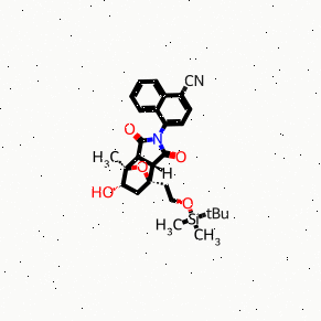 CC(C)(C)[Si](C)(C)OCC[C@]12C[C@H](O)[C@](C)(O1)C1C(=O)N(c3ccc(C#N)c4ccccc34)C(=O)[C@@H]12